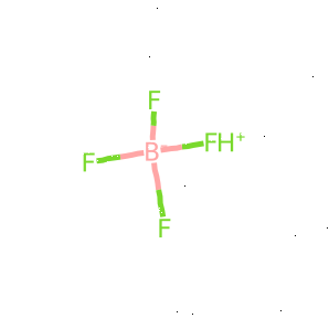 F[B-](F)(F)[FH+]